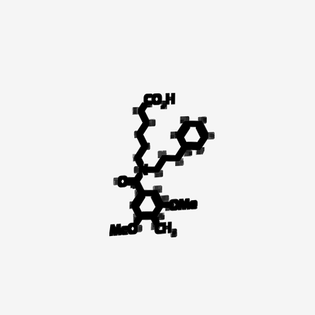 COc1cc(C(=O)N(CCCCCC(=O)O)CCCc2ccccc2)cc(OC)c1C